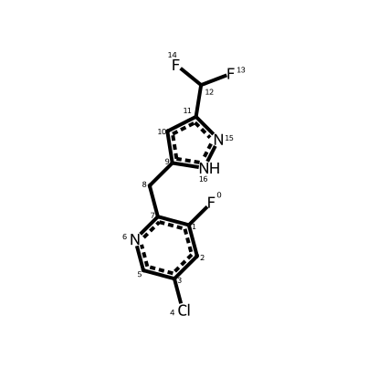 Fc1cc(Cl)cnc1Cc1cc(C(F)F)n[nH]1